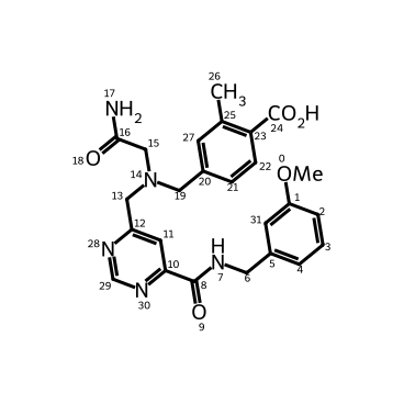 COc1cccc(CNC(=O)c2cc(CN(CC(N)=O)Cc3ccc(C(=O)O)c(C)c3)ncn2)c1